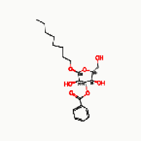 CCCCCCCCO[C@H]1O[C@H](CO)[C@@H](O)[C@H](OC(=O)c2ccccc2)[C@H]1O